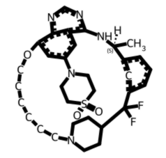 C[C@@H]1Nc2ncnc3c(cc(N4CCS(=O)(=O)CC4)cc23)OCCCCCCN2CCC(CC2)C(F)(F)c2cccc1c2